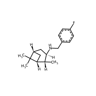 C[C@@H]1[C@H]2C[C@@H](C[C@H]1NCc1ccc(F)cc1)C2(C)C